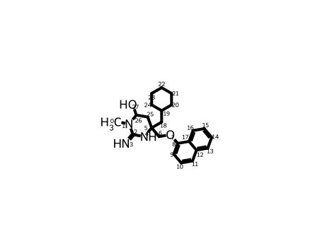 CN1C(=N)NC(COc2cccc3ccccc23)(CC2CCCCC2)CC1O